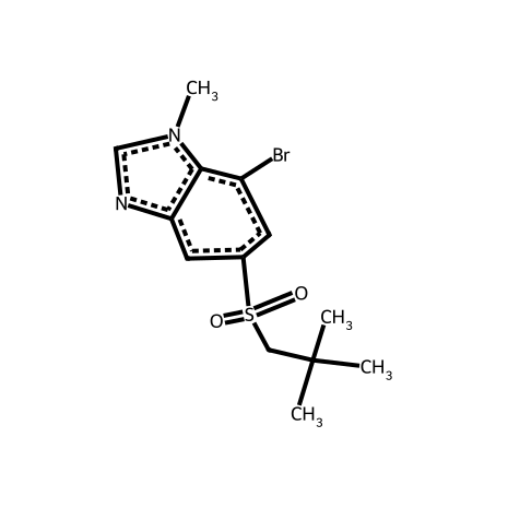 Cn1cnc2cc(S(=O)(=O)CC(C)(C)C)cc(Br)c21